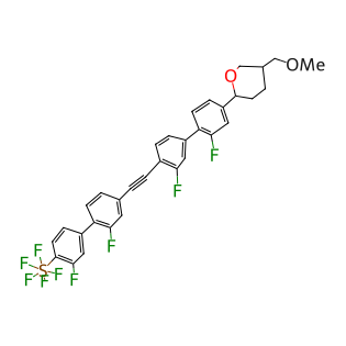 COCC1CCC(c2ccc(-c3ccc(C#Cc4ccc(-c5ccc(S(F)(F)(F)(F)F)c(F)c5)c(F)c4)c(F)c3)c(F)c2)OC1